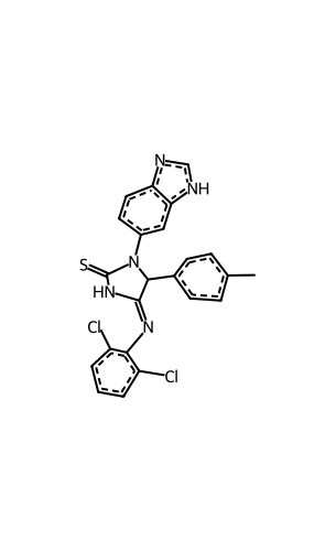 Cc1ccc(C2C(=Nc3c(Cl)cccc3Cl)NC(=S)N2c2ccc3nc[nH]c3c2)cc1